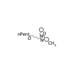 CCCCCC(=O)CCCCc1nc2cc(C)ccc2c(=O)n1Cc1ccccc1